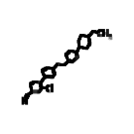 CCC1CCC(c2ccc(CCc3ccc(-c4ccc(C#N)cc4Cl)cc3)cc2)CC1